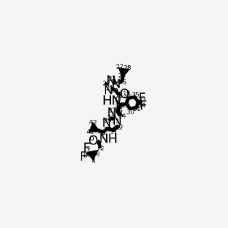 O=C(C[C@@H]1CC1(F)F)NC(c1ccn2cc([C@@H](NC(=O)c3ncnn3CC3CC3)C3CCC(F)(F)CC3)nc2n1)C1CC1